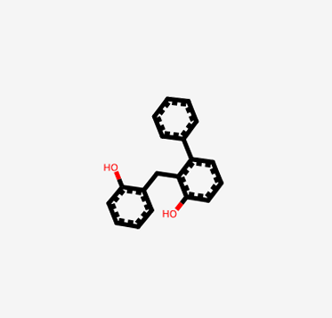 Oc1ccccc1Cc1c(O)cccc1-c1ccccc1